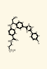 CC(C)CC(Nc1ccc(C(=O)NCCC(=O)O)cc1)c1ccc(-c2nnc(-c3ccc(F)cc3)o2)cc1